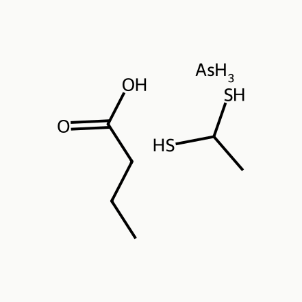 CC(S)S.CCCC(=O)O.[AsH3]